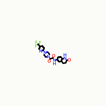 O=C1CCc2cc(NC(=O)C(=O)N3CCN(c4ccc(C(F)(F)F)cn4)CC3)ccc2N1